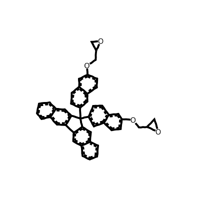 c1ccc2cc3c(cc2c1)-c1cc2ccccc2cc1C3(c1ccc2cc(OCC3CO3)ccc2c1)c1ccc2cc(OCC3CO3)ccc2c1